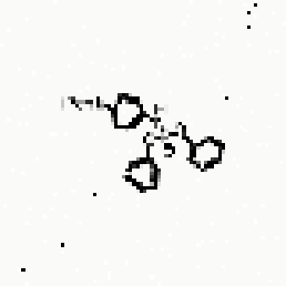 CCCC(C)c1ccc(NP(=O)(Oc2ccccc2)Oc2ccccc2)cc1